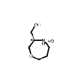 Cl.OC[C@@H]1COCCCN1